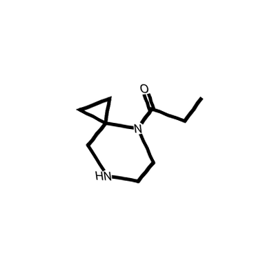 CCC(=O)N1CCNCC12CC2